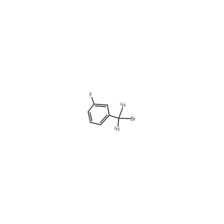 [2H]C([2H])(Br)c1cccc(F)c1